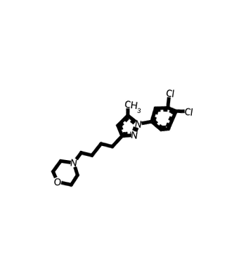 Cc1cc(CCCCN2CCOCC2)nn1-c1ccc(Cl)c(Cl)c1